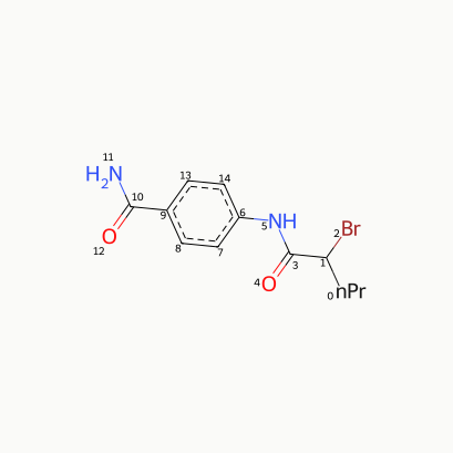 CCCC(Br)C(=O)Nc1ccc(C(N)=O)cc1